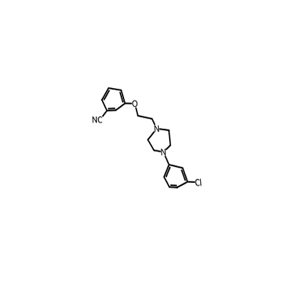 N#Cc1cccc(OCCN2CCN(c3cccc(Cl)c3)CC2)c1